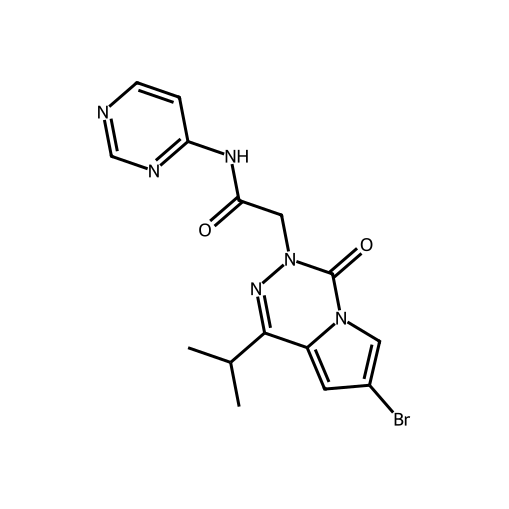 CC(C)c1nn(CC(=O)Nc2ccncn2)c(=O)n2cc(Br)cc12